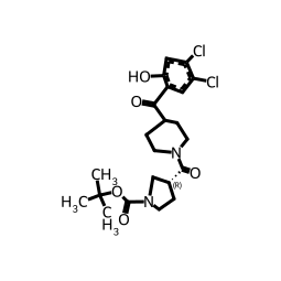 CC(C)(C)OC(=O)N1CC[C@@H](C(=O)N2CCC(C(=O)c3cc(Cl)c(Cl)cc3O)CC2)C1